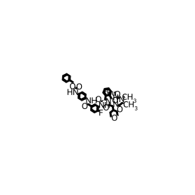 C[C@@H](C(=O)NC(C(=O)N1Cc2ccccc2[C@H]1C(=O)Nc1cc(C(=O)Nc2ccc(NC(=O)OCc3ccccc3)cc2)ccc1F)C1CCOCC1)N(C)C(=O)OC(C)(C)C